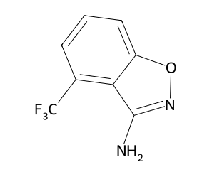 Nc1noc2cccc(C(F)(F)F)c12